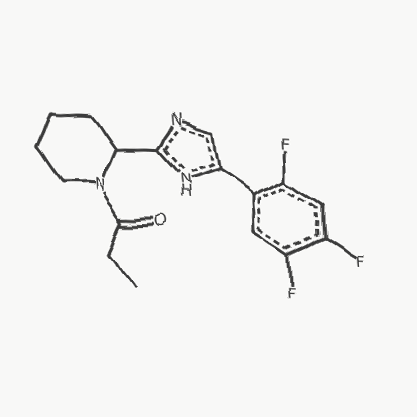 CCC(=O)N1CCCCC1c1ncc(-c2cc(F)c(F)cc2F)[nH]1